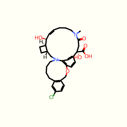 CN1CCC/C=C\[C@H](O)[C@@H]2CC[C@H]2CN2CCCCc3cc(Cl)ccc3COc3ccc(cc32)[C@](O)(C(=O)O)CC1=O